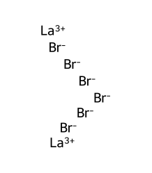 [Br-].[Br-].[Br-].[Br-].[Br-].[Br-].[La+3].[La+3]